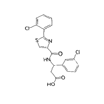 O=C(O)CC(NC(=O)c1csc(-c2ccccc2Cl)n1)c1cccc(Cl)c1